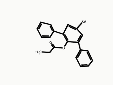 CCC(=O)Oc1c(-c2ccccc2)cc(S)cc1-c1ccccc1